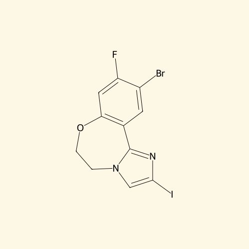 Fc1cc2c(cc1Br)-c1nc(I)cn1CCO2